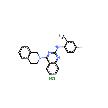 Cc1cc(F)ccc1Nc1nc(N2CCc3ccccc3C2)c2ccccc2n1.Cl